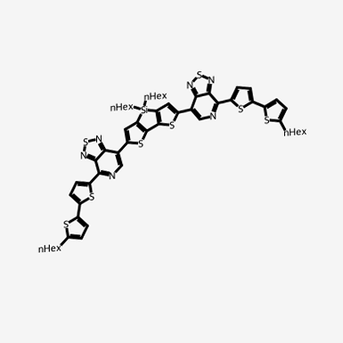 CCCCCCc1ccc(-c2ccc(-c3ncc(-c4cc5c(s4)-c4sc(-c6cnc(-c7ccc(-c8ccc(CCCCCC)s8)s7)c7nsnc67)cc4[Si]5(CCCCCC)CCCCCC)c4nsnc34)s2)s1